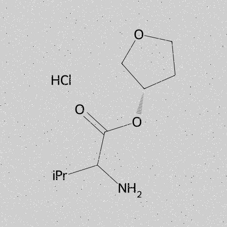 CC(C)C(N)C(=O)O[C@H]1CCOC1.Cl